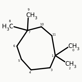 CC1(C)CCCCC(C)(C)CC1